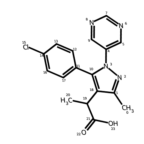 Cc1nn(-c2cncnc2)c(-c2ccc(Cl)cc2)c1C(C)C(=O)O